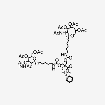 CC(=O)NC1C(OC(C)=O)[C@@H](OC(C)=O)C(COC(C)=O)O[C@H]1OCCCCCNC(=O)OCC(C)(COC(=O)NCCCCCO[C@@H]1OCC(OC(C)=O)C[C@H](OC(C)=O)C(OC(C)=O)C1NC(C)=O)C(=O)OCc1ccccc1